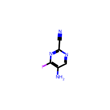 N#Cc1ncc(N)c(I)n1